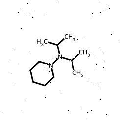 CC(C)N(C(C)C)N1CCCCC1